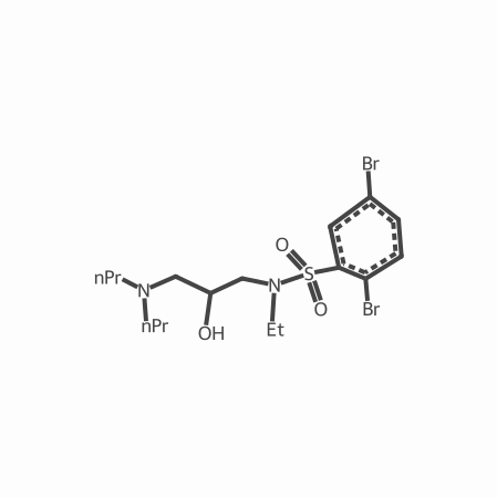 CCCN(CCC)CC(O)CN(CC)S(=O)(=O)c1cc(Br)ccc1Br